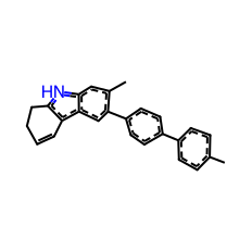 Cc1ccc(-c2ccc(-c3cc4c5c([nH]c4cc3C)CCC=C5)cc2)cc1